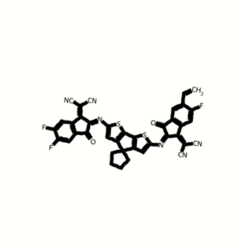 C=Cc1cc2c(cc1F)C(=C(C#N)C#N)/C(=N/c1cc3c(s1)-c1sc(/N=C4\C(=O)c5cc(F)c(F)cc5C4=C(C#N)C#N)cc1C31CCCC1)C2=O